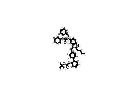 CCCCc1nc2ccc(N(Cc3ccccc3)C(=O)NC3CCCCC3)cc2n1Cc1ccc(-c2ccccc2OC(=O)OC(C)(C)C)cc1